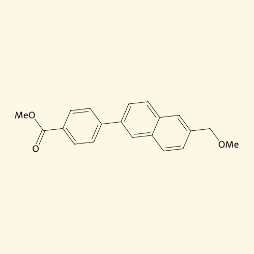 COCc1ccc2cc(-c3ccc(C(=O)OC)cc3)ccc2c1